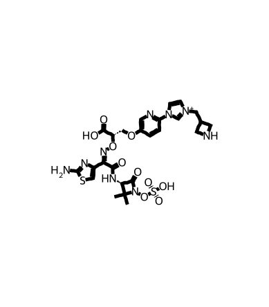 CC1(C)[C@H](NC(=O)/C(=N\O[C@@H](COc2ccc(-n3cc[n+](CC4CNC4)c3)nc2)C(=O)O)c2csc(N)n2)C(=O)N1OS(=O)(=O)O